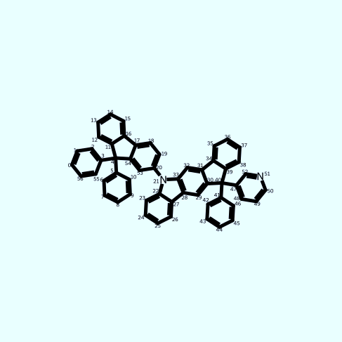 c1ccc(C2(c3ccccc3)c3ccccc3-c3ccc(-n4c5ccccc5c5cc6c(cc54)-c4ccccc4C6(c4ccccc4)c4cccnc4)cc32)cc1